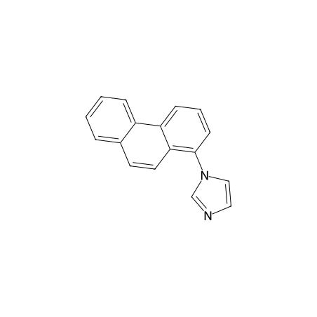 c1ccc2c(c1)ccc1c(-n3ccnc3)cccc12